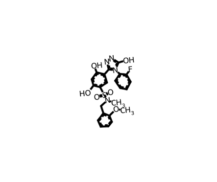 COc1ccccc1CN(C)S(=O)(=O)c1cc(-c2nnc(O)n2-c2ccccc2F)c(O)cc1O